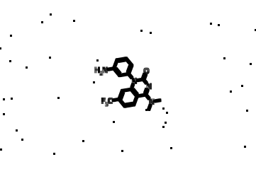 CN(C)c1nc(=O)n(-c2cccc(N)c2)c2cc(C(F)(F)F)ccc12